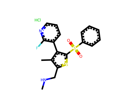 CNCc1sc(S(=O)(=O)c2ccccc2)c(-c2cccnc2F)c1C.Cl